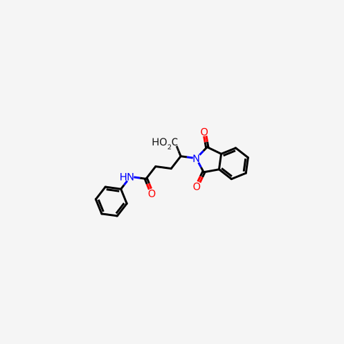 O=C(CCC(C(=O)O)N1C(=O)c2ccccc2C1=O)Nc1ccccc1